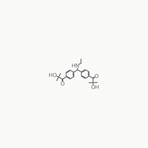 CCNC(c1ccc(C(=O)C(C)(C)O)cc1)c1ccc(C(=O)C(C)(C)O)cc1